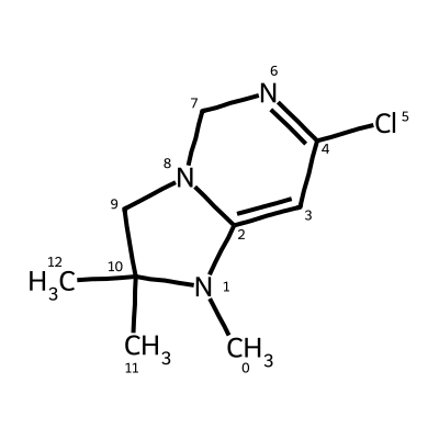 CN1C2=CC(Cl)=NCN2CC1(C)C